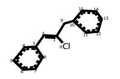 ClC(=Cc1ccccc1)Cc1ccccc1